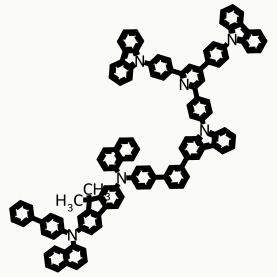 CC1(C)c2cc(N(c3ccc(-c4ccccc4)cc3)c3cccc4ccccc34)ccc2-c2ccc(N(c3ccc(-c4cccc(-c5ccc6c(c5)c5ccccc5n6-c5ccc(-c6cc(-c7ccc(-n8c9ccccc9c9ccccc98)cc7)cc(-c7ccc(-n8c9ccccc9c9ccccc98)cc7)n6)cc5)c4)cc3)c3cccc4ccccc34)cc21